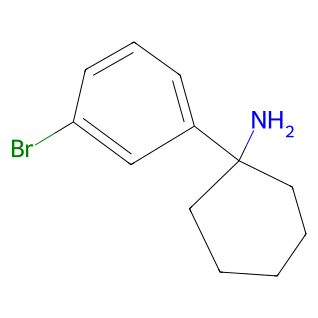 NC1(c2cccc(Br)c2)CCCCC1